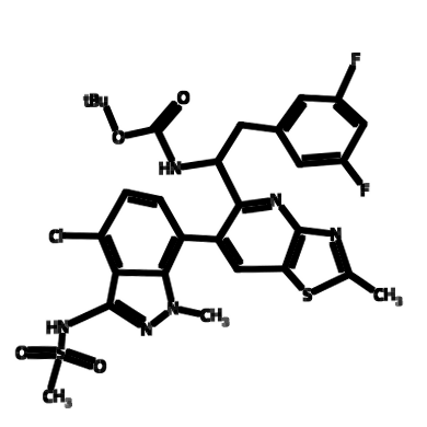 Cc1nc2nc(C(Cc3cc(F)cc(F)c3)NC(=O)OC(C)(C)C)c(-c3ccc(Cl)c4c(NS(C)(=O)=O)nn(C)c34)cc2s1